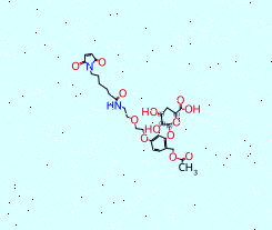 CC(=O)OCc1ccc(OCCOCCNC(=O)CCCCCN2C(=O)C=CC2=O)cc1O[C@@H]1O[C@H](C(=O)O)C[C@H](O)[C@H]1O